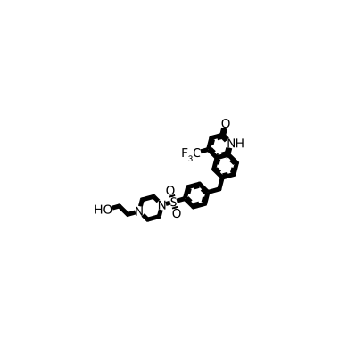 O=c1cc(C(F)(F)F)c2cc(Cc3ccc(S(=O)(=O)N4CCN(CCO)CC4)cc3)ccc2[nH]1